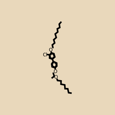 CCCCCCCCCCCOc1ccc(-c2ccc(OCC(C)OCCCCCCCC)cc2)cc1Cl